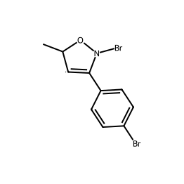 CC1[C]=C(c2ccc(Br)cc2)N(Br)O1